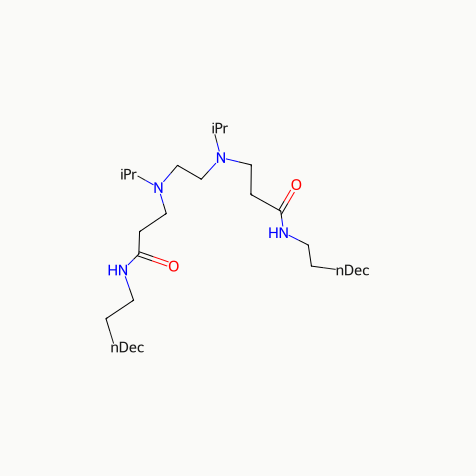 CCCCCCCCCCCCNC(=O)CCN(CCN(CCC(=O)NCCCCCCCCCCCC)C(C)C)C(C)C